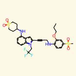 CCCOc1cc(S(C)(=O)=O)ccc1NCC#Cc1cc2c(NC3CCS(=O)(=O)CC3)cccc2n1CC(F)(F)F